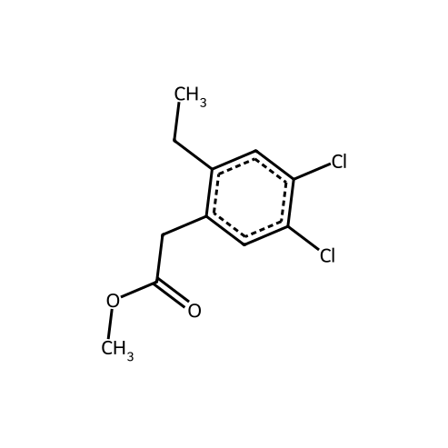 CCc1cc(Cl)c(Cl)cc1CC(=O)OC